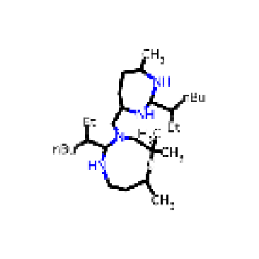 CCCCC(CC)C1NC(C)CCC(CN2CC(C)(C)CC(C)CCNC2C(CC)CCCC)N1